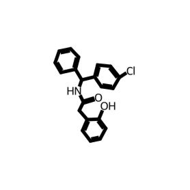 O=C(Cc1ccccc1O)NC(c1ccccc1)c1ccc(Cl)cc1